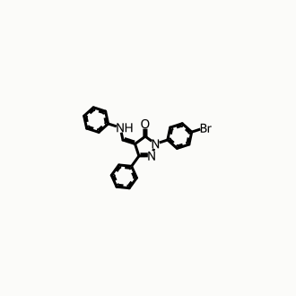 O=C1C(=CNc2ccccc2)C(c2ccccc2)=NN1c1ccc(Br)cc1